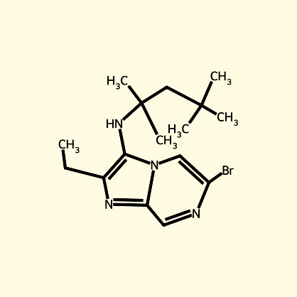 CCc1nc2cnc(Br)cn2c1NC(C)(C)CC(C)(C)C